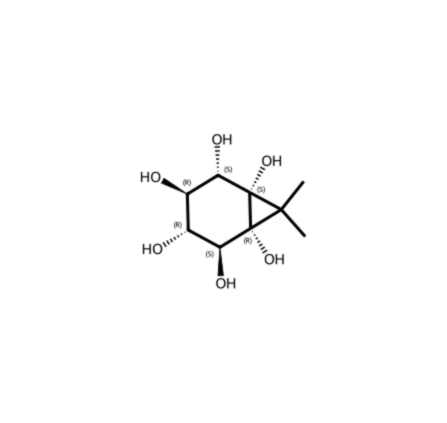 CC1(C)[C@]2(O)[C@@H](O)[C@H](O)[C@@H](O)[C@H](O)[C@]12O